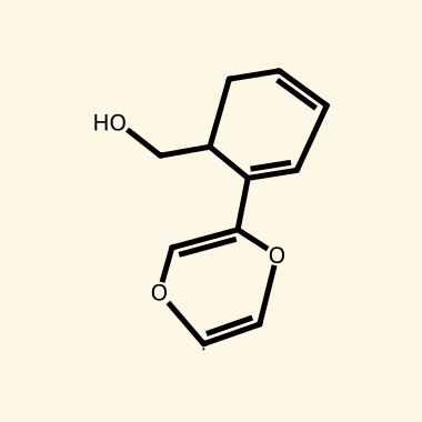 OCC1CC=CC=C1C1=CO[C]=CO1